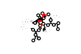 COc1ccc(N(c2ccc3c(c2)c2ccccc2n3-c2ccccc2)c2ccc3c(c2)c2cc(N(c4ccc(OC)cc4)c4ccc5c(c4)c4ccccc4n5-c4ccccc4)ccc2n3C2C(C)C(C)C2n2c3ccc(N(c4ccc(OC)cc4)c4ccc5c(c4)c4ccccc4n5-c4ccccc4)cc3c3cc(N(c4ccc(OC)cc4)c4ccc5c(c4)c4ccccc4n5-c4ccccc4)ccc32)cc1